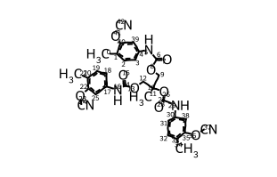 Cc1ccc(NC(=O)OCC(C)(COC(=O)Nc2ccc(C)c(OC#N)c2)OC(=O)Nc2ccc(C)c(OC#N)c2)cc1OC#N